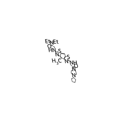 CCN(CC)C(=O)CNc1nc2c(C)c3nc(NCC(=O)N4CCN(C5CCCC5)CC4)sc3cc2s1